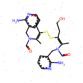 CC(=C(CCO)SSC(CCO)=C(C)N(C=O)Cc1cccnc1N)N(C=O)Cc1cccnc1N